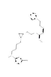 CCN(CCCC[C@H]1C[C@H]1CCOC(/C=C\CCn1cnnn1)=N/C)c1nc(C(C)C)no1